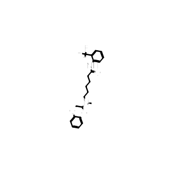 CN(CCCCCC(=O)Nc1ccccc1C(F)(F)F)C1COc2ccccc2O1